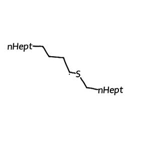 CCCCCCCCCC[CH]SCCCCCCCC